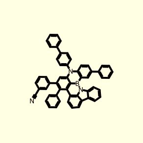 N#Cc1cccc(-c2cc3c4c(c2-c2ccccc2)-c2cccc5c6ccccc6n(c25)B4c2cc(-c4ccccc4)ccc2N3c2ccc(-c3ccccc3)cc2)c1